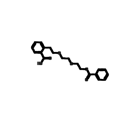 O=C(OCCOCCOCCc1ccccc1C(=O)O)c1ccccc1